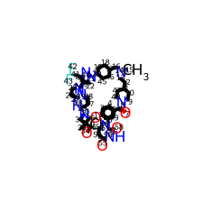 COc1ccc(C(=O)N2CCC(CCN(C)CC3CCC(n4cc(N5CC=C6N=C(N7CC8(COC8)C7)C=CN65)c(C(F)F)n4)CC3)CC2)cc1N1CCC(=O)NC1=O